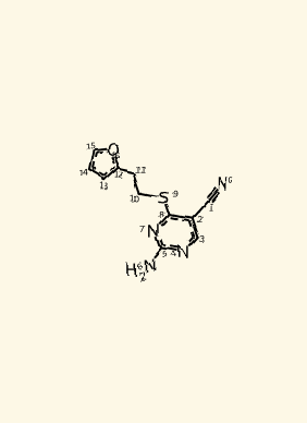 N#Cc1cnc(N)nc1SCCc1ccco1